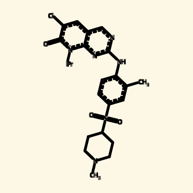 Cc1cc(S(=O)(=O)C2CCN(C)CC2)ccc1Nc1ncc2cc(Cl)c(=O)n(C(C)C)c2n1